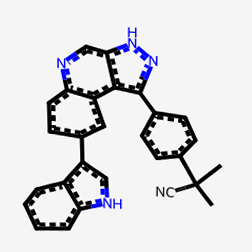 CC(C)(C#N)c1ccc(-c2n[nH]c3cnc4ccc(-c5c[nH]c6ccccc56)cc4c23)cc1